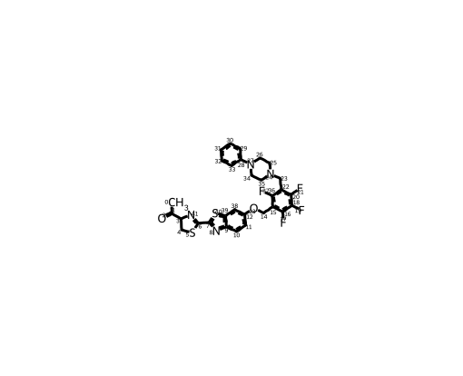 CC(=O)C1CSC(c2nc3ccc(OCc4c(F)c(F)c(F)c(CN5CCN(c6ccccc6)CC5)c4F)cc3s2)=N1